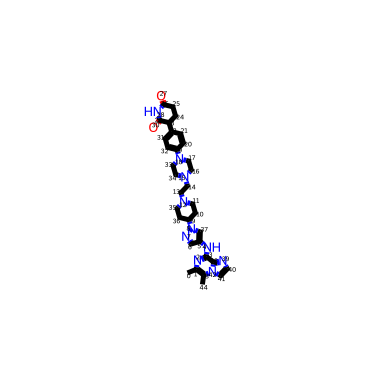 Cc1nc(Nc2cnn(C3CCN(CCN4CCN(c5ccc(C6CCC(=O)NC6=O)cc5)CC4)CC3)c2)c2nccn2c1C